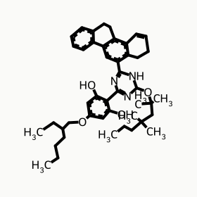 CCCCC(CC)COc1cc(O)c(C2=NC(OC(C)(C)CC(C)(C)CCC)NC(c3cc4c(c5c3CCC=C5)CCc3ccccc3-4)=N2)c(O)c1